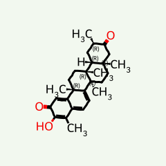 CC1=C(O)C(=O)C=C2C1=CC=C1[C@@]2(C)CC[C@]2(C)[C@@H]3C[C@@H](C)C(=O)C[C@]3(C)CC[C@@]12C